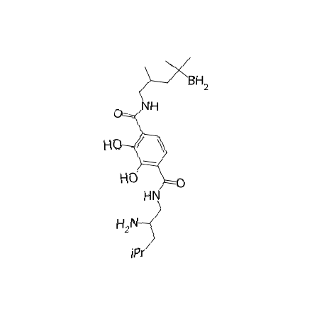 BC(C)(C)CC(C)CNC(=O)c1ccc(C(=O)NCC(N)CC(C)C)c(O)c1O